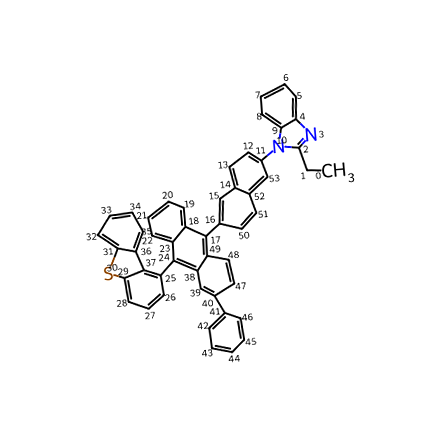 CCc1nc2ccccc2n1-c1ccc2cc(-c3c4ccccc4c(-c4cccc5sc6ccccc6c45)c4cc(-c5ccccc5)ccc34)ccc2c1